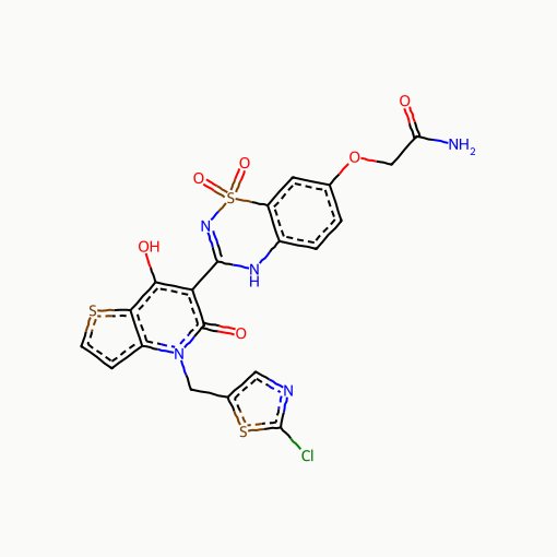 NC(=O)COc1ccc2c(c1)S(=O)(=O)N=C(c1c(O)c3sccc3n(Cc3cnc(Cl)s3)c1=O)N2